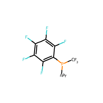 CCCP(c1c(F)c(F)c(F)c(F)c1F)C(F)(F)F